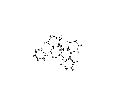 CON(Cc1ccccc1)C(=O)N(C(=O)c1ccccc1)C1CCCCC1